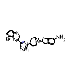 N=C/C(=C\NC1CCN(C2Cc3ccc(N)cc3C2)CC1)c1cnc2cccc(Br)c2n1